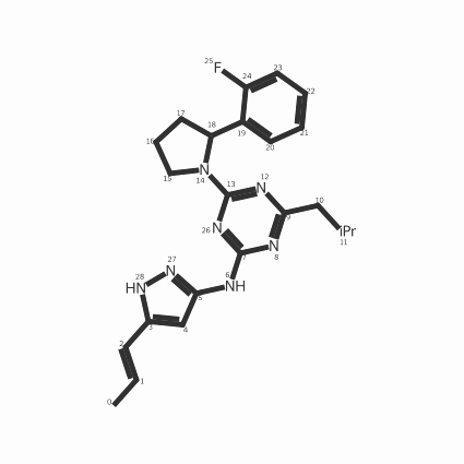 C/C=C/c1cc(Nc2nc(CC(C)C)nc(N3CCCC3c3ccccc3F)n2)n[nH]1